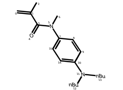 C=C(C)C(=O)N(C)c1ccc(N(CCCC)CCCC)cc1